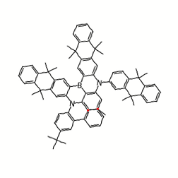 Cc1cc2c3c(c1)N(c1ccc(C(C)(C)C)cc1-c1ccccc1)c1cc4c(cc1B3c1cc3c(cc1N2c1ccc2c(c1)C(C)(C)c1ccccc1C2(C)C)C(C)(C)c1ccccc1C3(C)C)C(C)(C)c1ccccc1C4(C)C